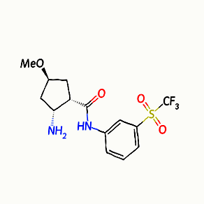 CO[C@@H]1C[C@@H](N)[C@@H](C(=O)Nc2cccc(S(=O)(=O)C(F)(F)F)c2)C1